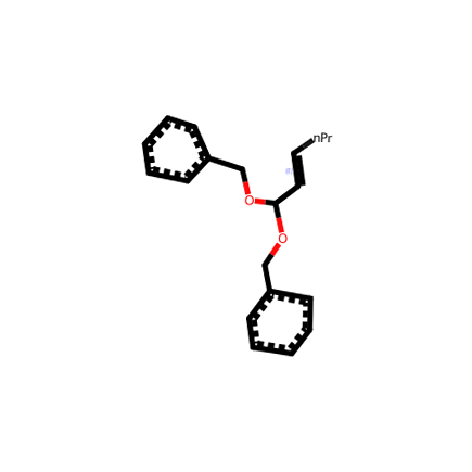 CCC/C=C/C(OCc1ccccc1)OCc1ccccc1